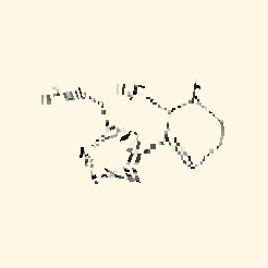 CCCCCSc1nsnc1C1=CCCNC1C